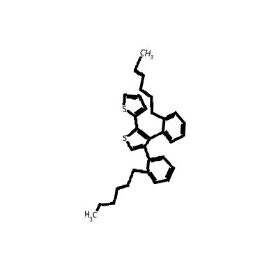 CCCCCCc1ccccc1-c1csc(-c2cccs2)c1-c1ccccc1CCCCCC